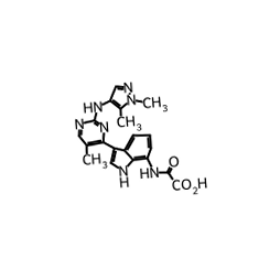 Cc1cnc(Nc2cnn(C)c2C)nc1-c1c[nH]c2c(NC(=O)C(=O)O)cccc12